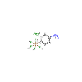 Cl.Nc1ccc(S(F)(F)(F)(F)F)cc1